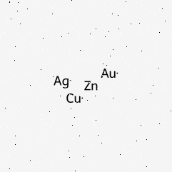 [Ag].[Au].[Cu].[Zn]